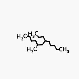 CCCCCC(CCC)CC(C)CCCC